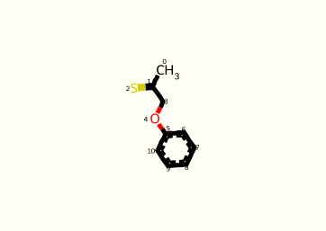 CC(=S)COc1ccccc1